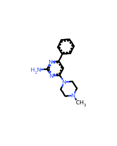 CN1CCN(c2cc(-c3ccccc3)nc(N)n2)CC1